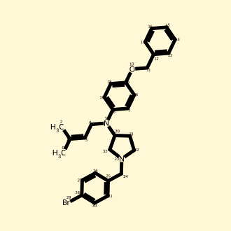 CC(C)=CCN(c1ccc(OCc2ccccc2)cc1)C1CCN(Cc2ccc(Br)cc2)C1